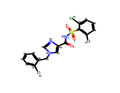 O=C(NS(=O)(=O)c1c(Cl)cccc1Cl)c1cn(Cc2ccccc2Cl)cn1